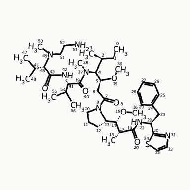 CC[C@H](C)[C@@H]([C@H](CC(=O)N1CCC[C@H]1[C@H](OC)[C@@H](C)C(=O)N[C@@H](Cc1ccccc1)c1nccs1)OC)N(C)C(=O)[C@@H](NC(=O)[C@H](C(C)C)N(C)CCN)C(C)C